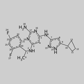 CC(Nc1cc(Nc2cc(C3CCC3)[nH]n2)nc(N)n1)c1ccc(F)cc1F